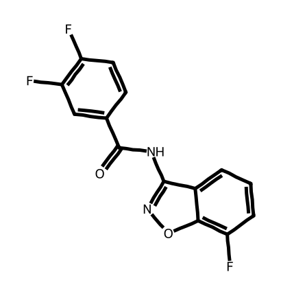 O=C(Nc1noc2c(F)cccc12)c1ccc(F)c(F)c1